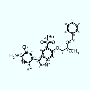 C[C@@H](COc1cc2ncc(-c3cc(Cl)c(N)nc3F)n2cc1S(=O)(=O)C(C)(C)C)OCc1ccccc1